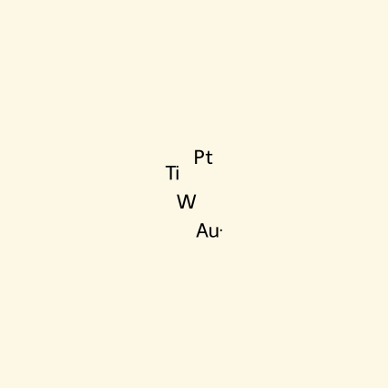 [Au].[Pt].[Ti].[W]